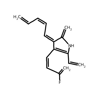 C=C/C=C\C=c1\c(/C=C\C(=C)F)c(C=C)[nH]c1=C